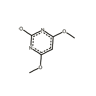 COc1cc(OC)nc([O])n1